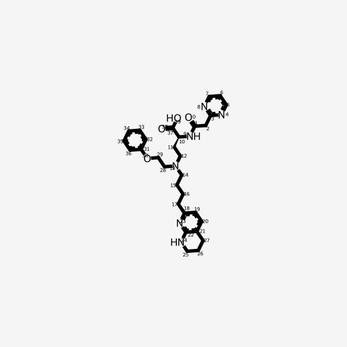 O=C(Cc1ncccn1)N[C@@H](CCN(CCCCc1ccc2c(n1)NCCC2)CCOc1ccccc1)C(=O)O